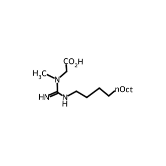 CCCCCCCCCCCCNC(=N)N(C)CC(=O)O